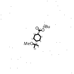 CCCCOC(=O)[C@H]1CC[C@H](C(C)(C)OC)CC1